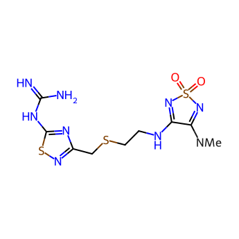 CNC1=NS(=O)(=O)N=C1NCCSCc1nsc(NC(=N)N)n1